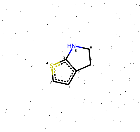 [c]1cc2c(s1)NCC2